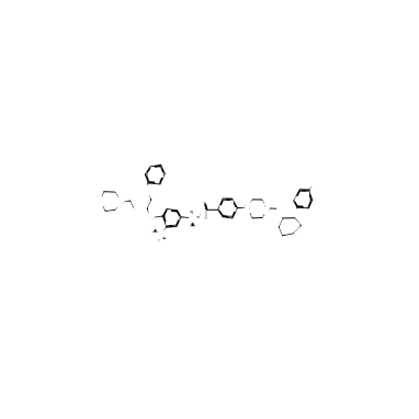 O=C(NS(=O)(=O)c1ccc(N[C@H](CCN2CCOCC2)CSc2ccccc2)c(S(=O)(=O)C(F)(F)F)c1)c1ccc(N2CCN(C[C@@H]3CCCC[C@@H]3c3ccc(Cl)cc3)CC2)cc1